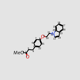 COC(=O)CCc1ccc(OCCn2ccc3ccccc32)cc1